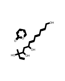 C=CC(C)(O)C(O)CC(O)C=CC=CC=CCO.O=c1cccco1